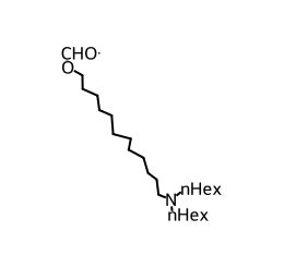 CCCCCCN(CCCCCC)CCCCCCCCCCCCO[C]=O